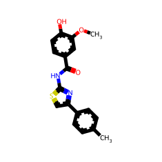 COc1cc(C(=O)Nc2nc(-c3ccc(C)cc3)cs2)ccc1O